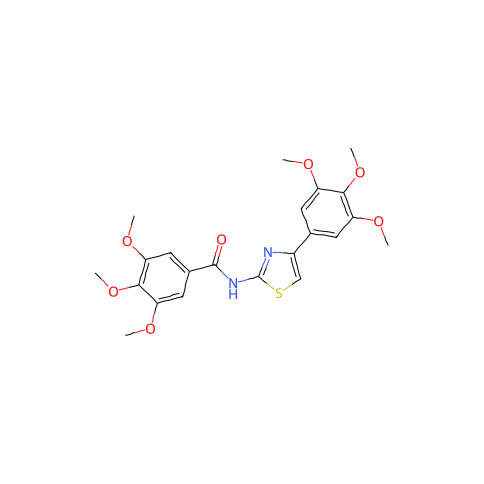 COc1cc(C(=O)Nc2nc(-c3cc(OC)c(OC)c(OC)c3)cs2)cc(OC)c1OC